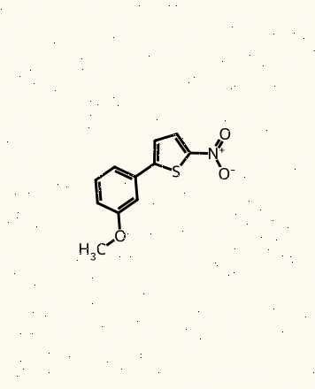 COc1cccc(-c2ccc([N+](=O)[O-])s2)c1